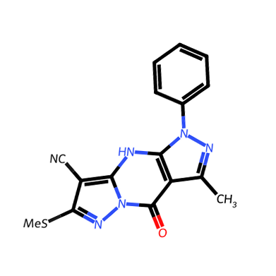 CSc1nn2c(=O)c3c(C)nn(-c4ccccc4)c3[nH]c2c1C#N